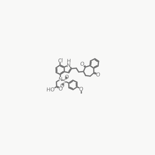 COc1ccc(S(=O)(=O)N(CC(=O)O)c2ccc(Cl)c3[nH]c(CCC4CCC(=O)c5ccccc5C4=O)cc23)cc1